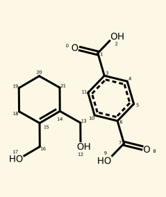 O=C(O)c1ccc(C(=O)O)cc1.OCC1=C(CO)CCCC1